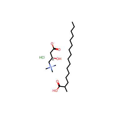 CCCCCCCCCCCCCCC(C)C(=O)O.C[N+](C)(C)C[C@H](O)CC(=O)[O-].Cl